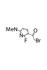 CNc1ccc(C(=O)CBr)c(F)n1